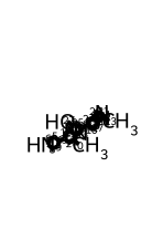 CC1=CC(C2CCNCC2)=CN2C1=NC(c1ccc3c(cnn3C)c1)=CC2O